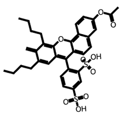 C=c1c(CCCC)cc2c(c1CCCC)Oc1c(ccc3cc(OC(C)=O)ccc13)C=2c1ccc(S(=O)(=O)O)cc1S(=O)(=O)O